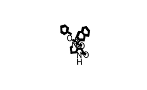 O=C1CC2(S(=O)(=O)c3ccc4ccccc4c3)C(CCN2C(=O)OCc2ccccc2)N1